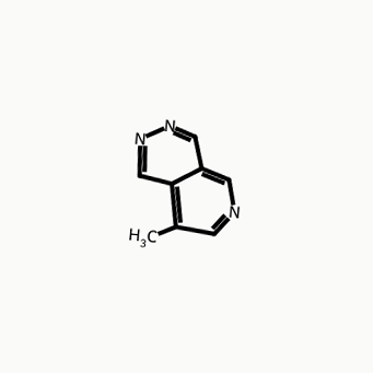 Cc1cncc2cnncc12